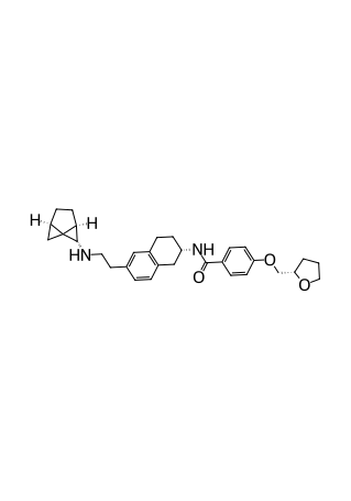 O=C(N[C@H]1CCc2cc(CCN[C@H]3[C@@H]4CC[C@@H]5CC543)ccc2C1)c1ccc(OC[C@@H]2CCCO2)cc1